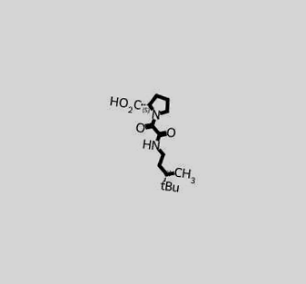 C[C@@H](CCNC(=O)C(=O)N1CCC[C@H]1C(=O)O)C(C)(C)C